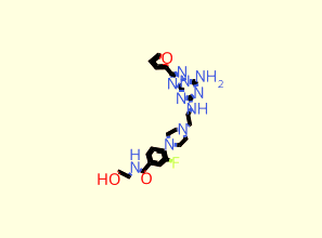 Nc1nc(NCCN2CCN(c3ccc(C(=O)NCCO)cc3F)CC2)nc2nc(-c3ccco3)nn12